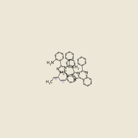 C=C(/C=C\C(=C/C)c1nc(-c2ccccc2N)n(C(=C)c2ccccc2)c1-c1ccccc1)c1nc2c3ccccc3nc(-c3ccccc3)n2c1-c1ccccc1